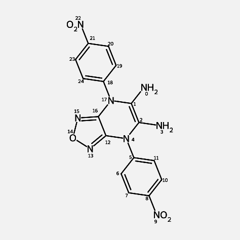 NC1=C(N)N(c2ccc([N+](=O)[O-])cc2)c2nonc2N1c1ccc([N+](=O)[O-])cc1